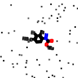 CCc1c(NC(=O)OC(C)(C)C)ccc(C(=O)O)c1CC